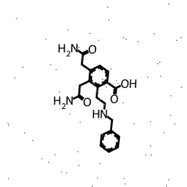 NC(=O)Cc1ccc(C(=O)O)c(CCNCc2ccccc2)c1CC(N)=O